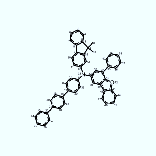 CC1(C)c2ccccc2-c2ccc(N(c3ccc(-c4ccc(-c5ccccc5)cc4)cc3)c3cc(-c4ccccc4)c4oc5ccccc5c4c3)cc21